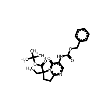 CCC1(C(=O)OC(C)(C)C)CCc2ncc(NC(=O)OCc3ccccc3)c(=O)n21